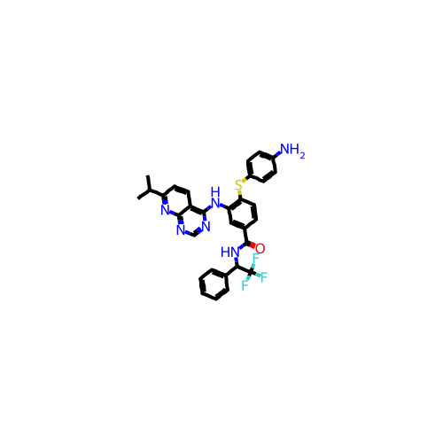 CC(C)c1ccc2c(Nc3cc(C(=O)NC(c4ccccc4)C(F)(F)F)ccc3Sc3ccc(N)cc3)ncnc2n1